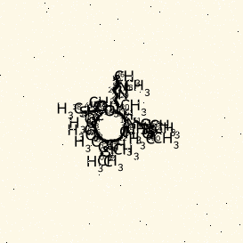 CC[Si](CC)(CC)OC1[C@@H](C)CCC[C@]2(C)[C@H](C[C@@H](/C(C)=C/c3cc(SC)n(C)n3)OC(=O)C[C@H](O[Si](CC)(CC)CC)C(C)(C)C(=O)[C@@H]1C)N2CCO[Si](C)(C)C(C)(C)C